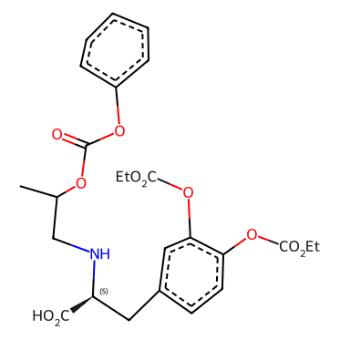 CCOC(=O)Oc1ccc(C[C@H](NCC(C)OC(=O)Oc2ccccc2)C(=O)O)cc1OC(=O)OCC